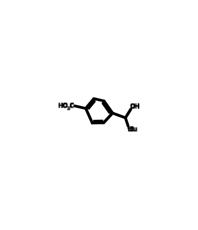 CC(C)(C)C(O)c1ccc(C(=O)O)cc1